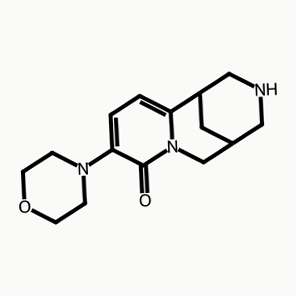 O=c1c(N2CCOCC2)ccc2n1CC1CNCC2C1